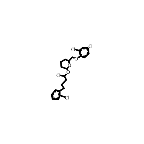 Clc1ccc(OCC2CCCC(OC(Cl)CCCc3ccccc3Cl)O2)c(Cl)c1